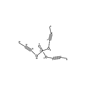 CC#COP(=O)(OC#CC)OC#CC